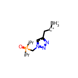 [BH3-][CH+]Cc1cn(CP(=O)(C(C)C)C(C)C)nn1